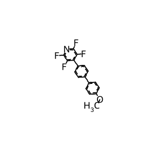 COc1ccc(-c2ccc(-c3c(F)c(F)nc(F)c3F)cc2)cc1